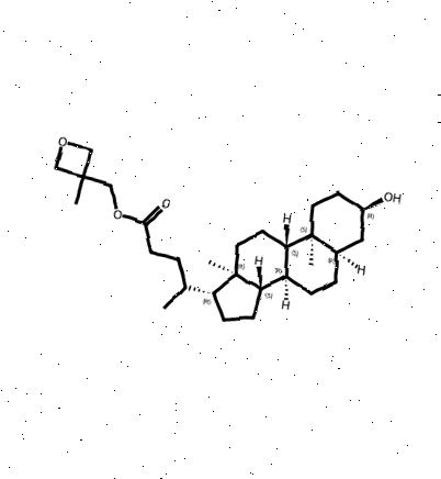 CC(CCC(=O)OCC1(C)COC1)[C@H]1CC[C@H]2[C@@H]3CC[C@@H]4C[C@H](O)CC[C@]4(C)[C@H]3CC[C@]12C